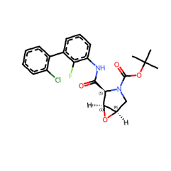 CC(C)(C)OC(=O)N1C[C@H]2O[C@H]2[C@H]1C(=O)Nc1cccc(-c2ccccc2Cl)c1F